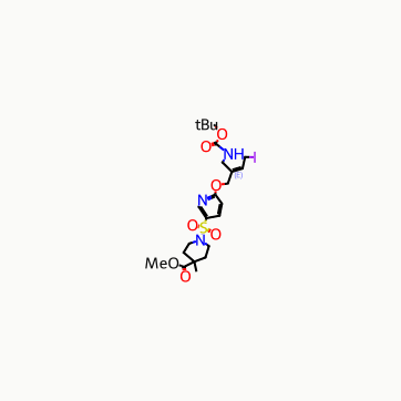 COC(=O)C1(C)CCN(S(=O)(=O)c2ccc(OC/C(=C/CI)CNC(=O)OC(C)(C)C)nc2)CC1